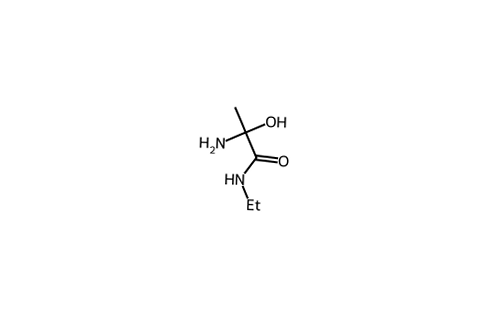 CCNC(=O)C(C)(N)O